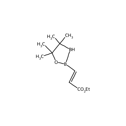 CCOC(=O)/C=C/B1BC(C)(C)C(C)(C)O1